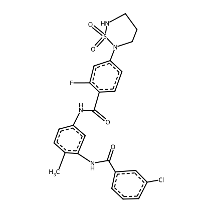 Cc1ccc(NC(=O)c2ccc(N3CCCNS3(=O)=O)cc2F)cc1NC(=O)c1cccc(Cl)c1